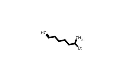 [CH]=CCCCCC(C)CC